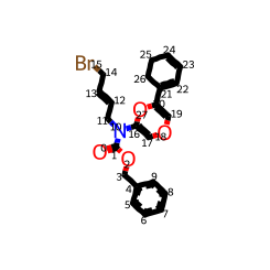 O=C(OCc1ccccc1)N(CC=CCBr)C1=COC=C(C2=CC=CCC2)O1